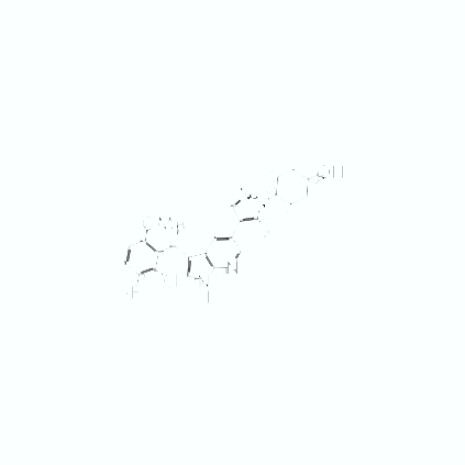 COc1ccc(F)c(Cl)c1[C@@H](C)c1c[nH]c2ncc(-c3cnn(C4CCC(O)CC4)c3C)cc12